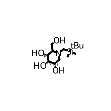 CC(C)(C)[Si](C)(C)CN1C[C@H](O)[C@@H](O)[C@H](O)C1CO